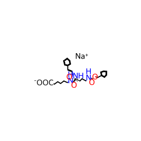 O=C([O-])CCCCCNC(=O)[C@H](CCCNC(=O)OCc1ccccc1)NC(=O)C=Cc1ccccc1.[Na+]